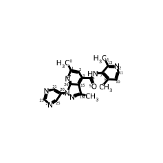 Cc1cc(C(=O)Nc2c(C)ccnc2C)c2c(C)nn(-c3cncnc3)c2n1